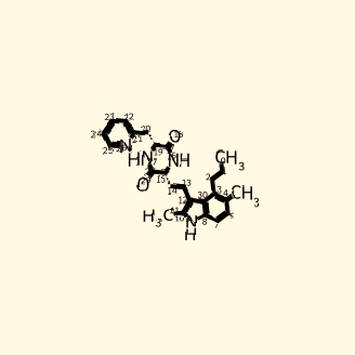 CCCc1c(C)ccc2[nH]c(C)c(CC[C@H]3NC(=O)[C@@H](Cc4ccccn4)NC3=O)c12